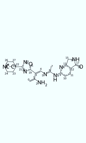 C=C(N)/C(=C\N=C(/C)Nc1ccc2c(n1)CNC2=O)c1nc(C23CCN(CC2)CC3)no1